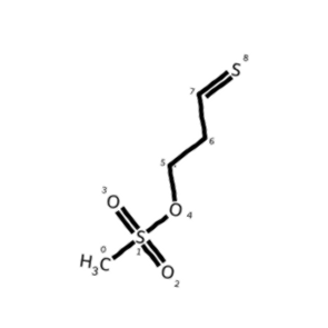 CS(=O)(=O)O[CH]CC=S